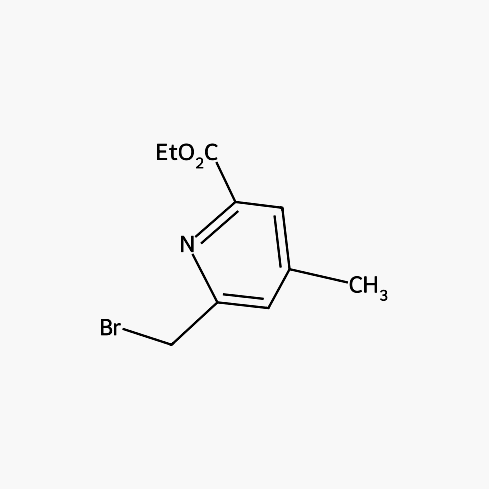 CCOC(=O)c1cc(C)cc(CBr)n1